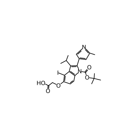 Cc1cc(-c2c(C(C)C)c3c(I)c(OCC(=O)O)ccc3n2C(=O)OC(C)(C)C)ccn1